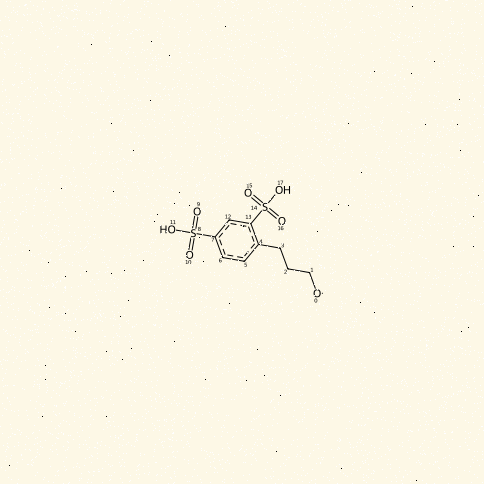 [O]CCCc1ccc(S(=O)(=O)O)cc1S(=O)(=O)O